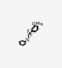 COc1cccc(C(F)(F)CC[Si](C)(C)c2ccccc2)c1